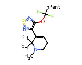 [2H]C1([2H])C(c2nsnc2OC(F)(F)CCCCC)=CCCN1C